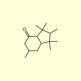 CC1CC(=O)C2C(C1)C(C)(C)C(C)C2(C)C